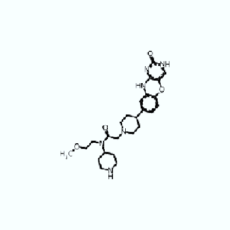 COCCN(C(=O)CN1CCC(c2ccc3c(c2)Nc2nc(=O)[nH]cc2O3)CC1)C1CCNCC1